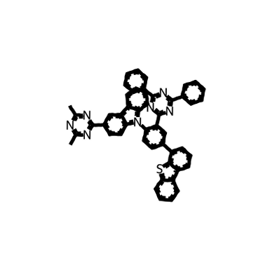 Cc1nc(C)nc(-c2ccc3c(c2)c2ccccc2n3-c2ccc(-c3cccc4c3sc3ccccc34)cc2-c2nc(-c3ccccc3)nc(-c3ccccc3)n2)n1